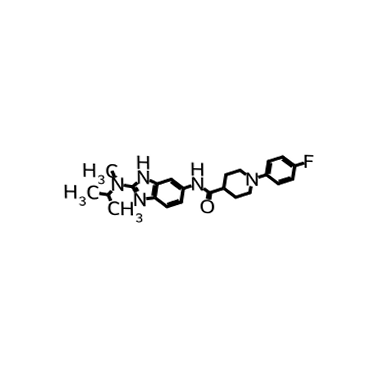 CC(C)N(C)c1nc2ccc(NC(=O)C3CCN(c4ccc(F)cc4)CC3)cc2[nH]1